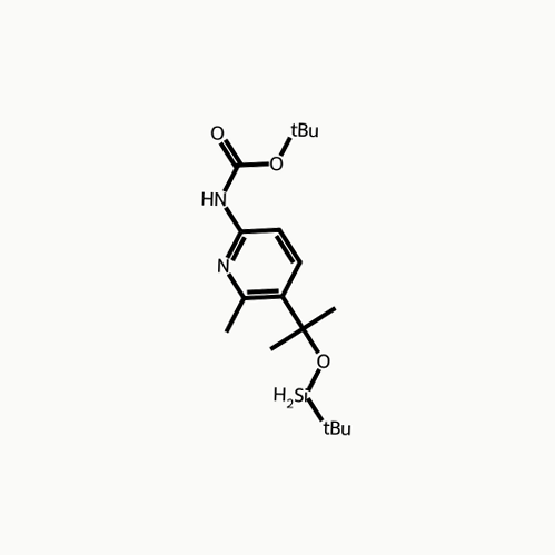 Cc1nc(NC(=O)OC(C)(C)C)ccc1C(C)(C)O[SiH2]C(C)(C)C